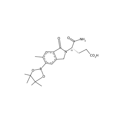 Cc1cc2c(cc1B1OC(C)(C)C(C)(C)O1)CN([C@@H](CCC(=O)O)C(N)=O)C2=O